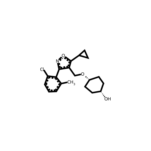 Cc1cccc(Cl)c1-c1noc(C2CC2)c1CO[C@H]1CC[C@@H](O)CC1